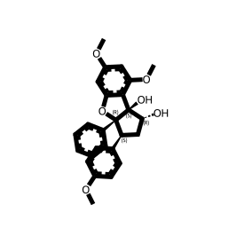 COc1ccc([C@@H]2C[C@@H](O)[C@@]3(O)c4c(OC)cc(OC)cc4O[C@@]23c2ccccc2)cc1